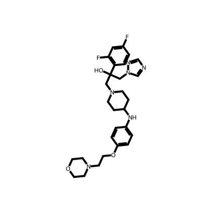 OC(CN1CCC(Nc2ccc(OCCN3CCOCC3)cc2)CC1)(Cn1cncn1)c1ccc(F)cc1F